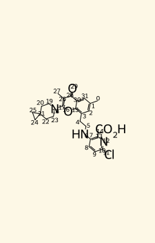 Cc1cc(CCNc2ccc(Cl)nc2C(=O)O)c2oc(N3CCC4(CC3)CC4)c(C)c(=O)c2c1